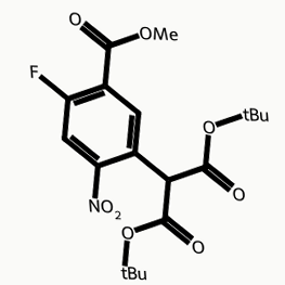 COC(=O)c1cc(C(C(=O)OC(C)(C)C)C(=O)OC(C)(C)C)c([N+](=O)[O-])cc1F